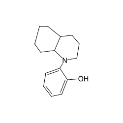 Oc1ccccc1N1CCCC2CCCCC21